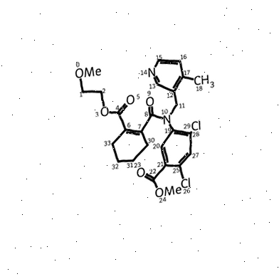 COCCOC(=O)C1=C(C(=O)N(Cc2cnccc2C)c2cc(C(=O)OC)c(Cl)cc2Cl)CCCC1